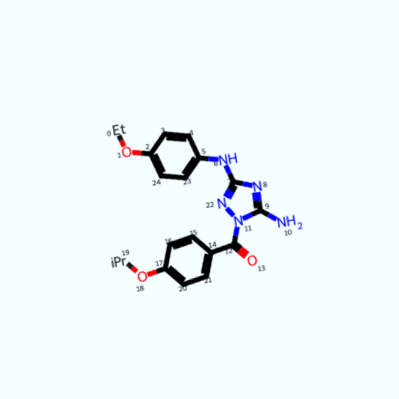 CCOc1ccc(Nc2nc(N)n(C(=O)c3ccc(OC(C)C)cc3)n2)cc1